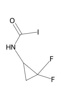 O=C(I)NC1CC1(F)F